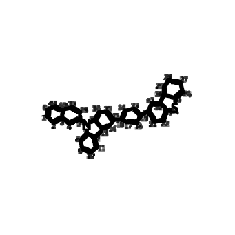 c1ccc2cc(-n3c4ccccc4c4cc(-c5ccc(-c6ccc7sc8ccccc8c7c6)cc5)ccc43)ccc2c1